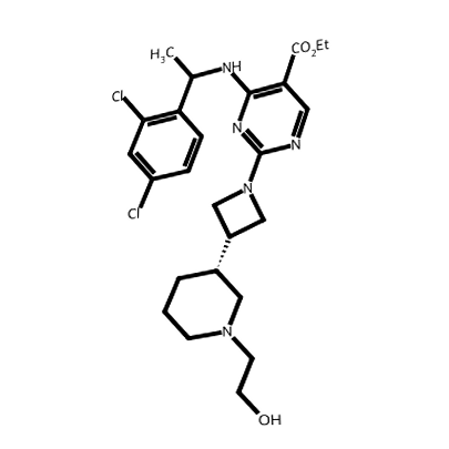 CCOC(=O)c1cnc(N2CC([C@H]3CCCN(CCO)C3)C2)nc1NC(C)c1ccc(Cl)cc1Cl